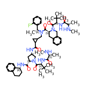 CN[C@@H](C)C(=O)N[C@H](C(=O)N1C[C@@H](NC(=O)C2CC2CN(C(=O)[C@@H]2Cc3ccccc3CN2C(=O)[C@@H](NC(=O)[C@H](C)NC)C(C)(C)C)[C@H](C)c2ccccc2F)C[C@H]1C(=O)N[C@@H]1CCCc2ccccc21)C(C)(C)C